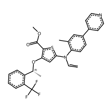 C=CN(c1cc(O[C@H](C)c2ccccc2C(F)(F)F)c(C(=O)OC)s1)c1ccc(-c2ccncc2)cc1C